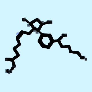 CCCCCC(O)c1cccc([C@@H]2[C@@H](C/C=C\CCCC(=O)OC)[C@H](Cl)C[C@H]2O)c1